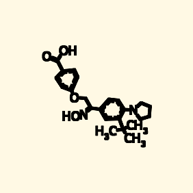 CC(C)(C)c1cc(C(COc2ccc(C(=O)O)cc2)=NO)ccc1N1CCCC1